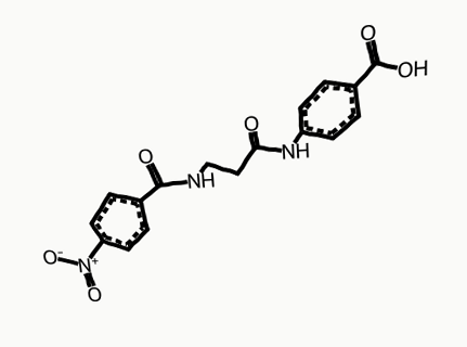 O=C(CCNC(=O)c1ccc([N+](=O)[O-])cc1)Nc1ccc(C(=O)O)cc1